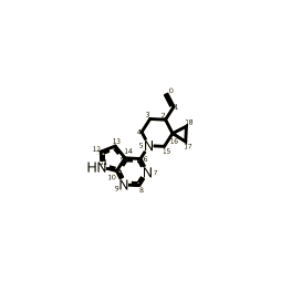 C=CC1CCN(c2ncnc3[nH]ccc23)CC12CC2